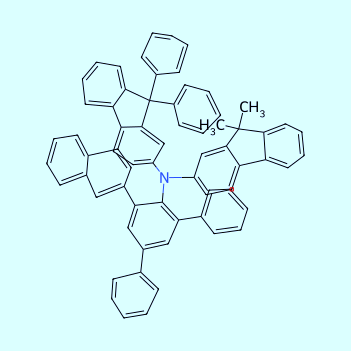 CC1(C)c2ccccc2-c2ccc(N(c3ccc4c(c3)C(c3ccccc3)(c3ccccc3)c3ccccc3-4)c3c(-c4ccccc4)cc(-c4ccccc4)cc3-c3ccc4ccccc4c3)cc21